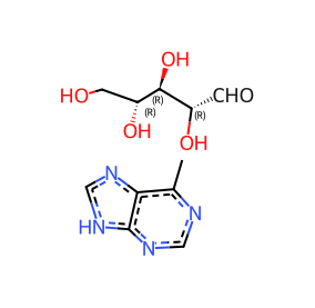 Cc1ncnc2[nH]cnc12.O=C[C@H](O)[C@H](O)[C@H](O)CO